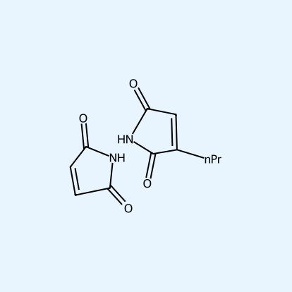 CCCC1=CC(=O)NC1=O.O=C1C=CC(=O)N1